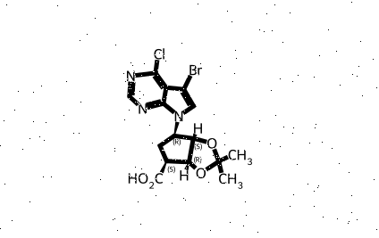 CC1(C)O[C@@H]2[C@H](O1)[C@@H](C(=O)O)C[C@H]2n1cc(Br)c2c(Cl)ncnc21